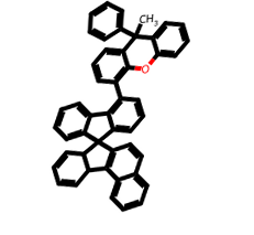 CC1(c2ccccc2)c2ccccc2Oc2c(-c3cccc4c3-c3ccccc3C43c4ccc5ccccc5c4C4C=CC=CC43)cccc21